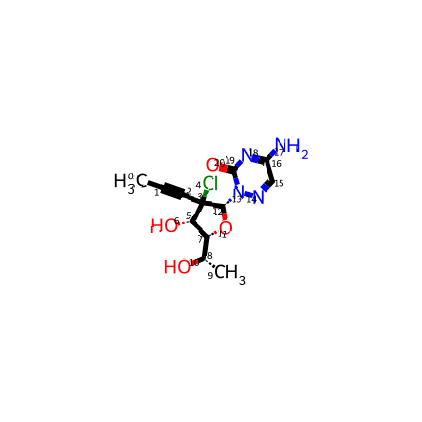 CC#CC1(Cl)[C@@H](O)[C@@H]([C@H](C)O)O[C@H]1n1ncc(N)nc1=O